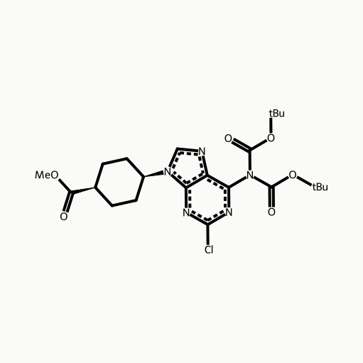 COC(=O)[C@H]1CC[C@@H](n2cnc3c(N(C(=O)OC(C)(C)C)C(=O)OC(C)(C)C)nc(Cl)nc32)CC1